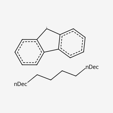 CC[CH]CCCCCCCCCCCCCCCCCCCCC.[CH]1c2ccccc2-c2ccccc21